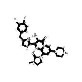 CN1CCN(c2cc(N3CCOCC3)cn3c(=O)c(O)c(-c4ncc(Cc5ccc(F)c(F)c5)[nH]4)nc23)C1=O